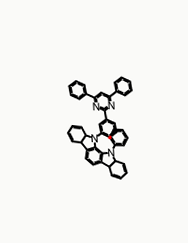 C1=CC2c3ccc4c(c3N(c3ccccc3)C2C=C1)N(c1cccc(-c2nc(-c3ccccc3)cc(-c3ccccc3)n2)c1)C1C=CC=CC41